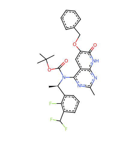 Cc1nc(N(C(=O)OC(C)(C)C)[C@H](C)c2cccc(C(F)F)c2F)c2cc(OCc3ccccc3)c(=O)[nH]c2n1